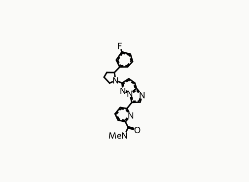 CNC(=O)c1cccc(-c2cnc3ccc(N4CCCC4c4cccc(F)c4)nn23)n1